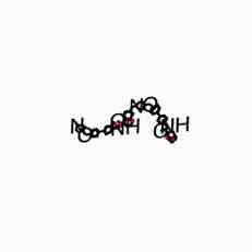 CN1CCC(Oc2ccc(-c3ccc(NC(=O)c4cccc5cc(CN6CCC(Oc7ccc(-c8ccc(NC(=O)C9%10CC%11CC(C9)C(C%11)C%10)cc8)cc7)CC6)ccc45)cc3)cc2)CC1